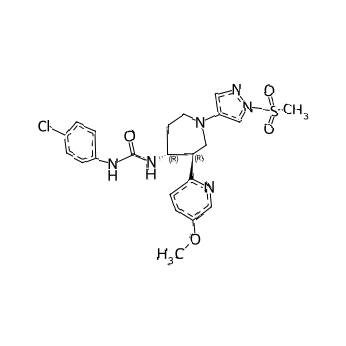 COc1ccc([C@@H]2CN(c3cnn(S(C)(=O)=O)c3)CC[C@H]2NC(=O)Nc2ccc(Cl)cc2)nc1